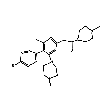 Cc1cc(CC(=O)N2CCN(C)CC2)nc(N2CCN(C)CC2)c1-c1ccc(Br)cc1